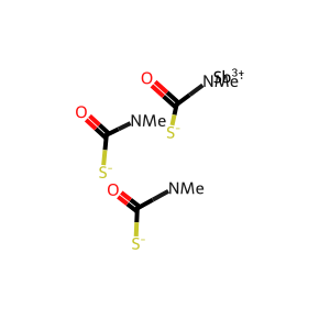 CNC(=O)[S-].CNC(=O)[S-].CNC(=O)[S-].[Sb+3]